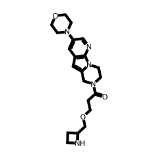 O=C(CCOCC1CCN1)N1CCn2c(cc3cc(N4CCOCC4)cnc32)C1